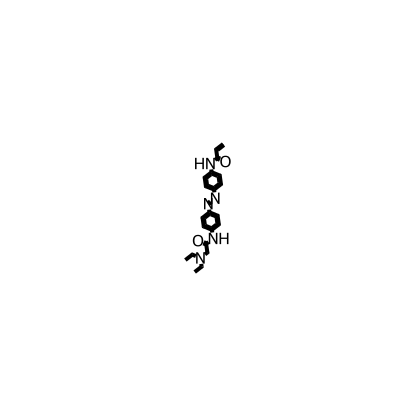 C=CC(=O)Nc1ccc(/N=N/c2ccc(NC(=O)CN(CC)CC)cc2)cc1